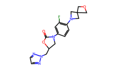 O=C1OC(Cn2nccn2)CN1c1ccc(N2CC3(COC3)C2)c(F)c1